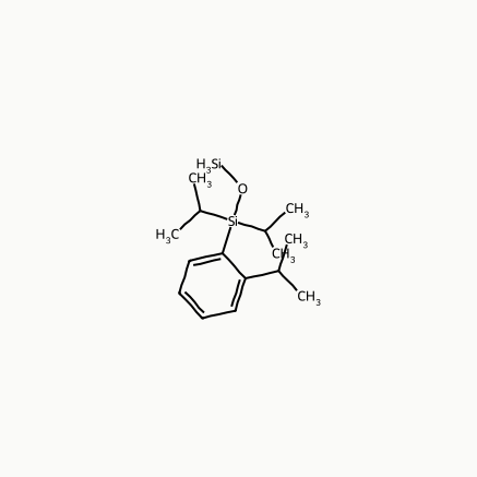 CC(C)c1ccccc1[Si](O[SiH3])(C(C)C)C(C)C